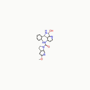 COc1cc2c(cn1)N(C(=O)Nc1ccnc3c1C(c1ccccc1C)NC3O)CC2